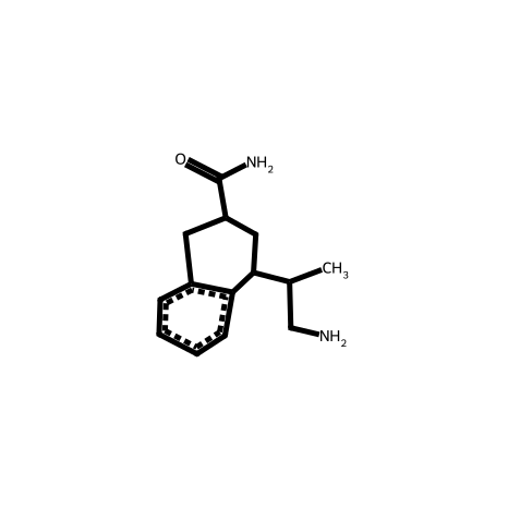 CC(CN)C1CC(C(N)=O)Cc2ccccc21